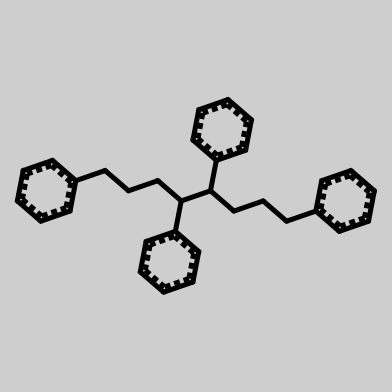 c1ccc(CCCC(c2ccccc2)C(CCCc2ccccc2)c2ccccc2)cc1